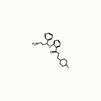 CN1CCC(CCC(=O)c2ccccc2OC(CCN)c2ccccc2)CC1